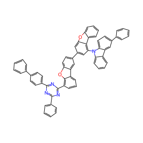 c1ccc(-c2ccc(-c3nc(-c4ccccc4)nc(-c4cccc5c4oc4ccc(-c6cc(-n7c8ccccc8c8cc(-c9ccccc9)ccc87)c7c(c6)oc6ccccc67)cc45)n3)cc2)cc1